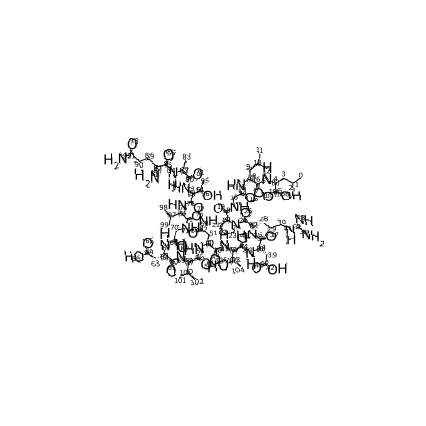 CC(C)C[C@H](NC(=O)[C@H](CC(C)C)NC(=O)CNC(=O)[C@@H]1CCCN1C(=O)[C@H](CCCNC(=N)N)NC(=O)[C@H](CC(=O)O)NC(=O)[C@@H](NC(=O)[C@H](CC(N)=O)NC(=O)[C@@H](NC(=O)[C@H](CC(=O)O)NC(=O)CNC(=O)[C@@H](NC(=O)[C@@H](NC(=O)[C@H](C)NC(=O)[C@@H](N)CCC(N)=O)[C@@H](C)O)C(C)C)C(C)C)[C@@H](C)O)C(=O)O